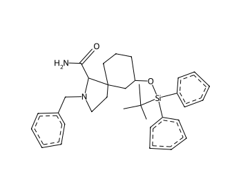 CC(C)(C)[Si](OC1CCCC2(CCN(Cc3ccccc3)C2C(N)=O)C1)(c1ccccc1)c1ccccc1